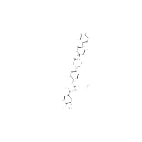 CC(C)(C)c1ccc(C(=O)NC(Cc2ccc(N3CCN(c4ccc(-c5ccccc5)cc4)CC3)cc2)C(=O)O)cc1